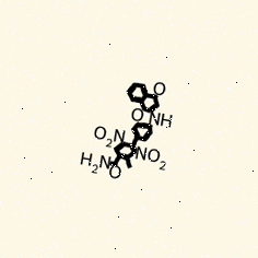 Cc1c(C(N)=O)cc([N+](=O)[O-])c(-c2ccc(NC3=CC(=O)c4ccccc4C3=O)cc2)c1[N+](=O)[O-]